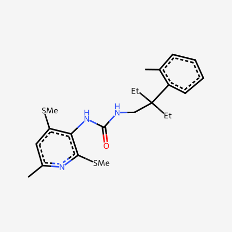 CCC(CC)(CNC(=O)Nc1c(SC)cc(C)nc1SC)c1ccccc1C